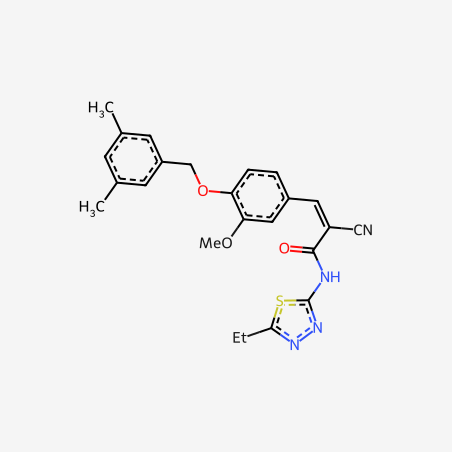 CCc1nnc(NC(=O)C(C#N)=Cc2ccc(OCc3cc(C)cc(C)c3)c(OC)c2)s1